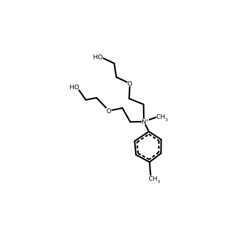 Cc1ccc([N+](C)(CCOCCO)CCOCCO)cc1